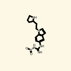 N=C(Nc1ccc2c(ccn2CCC2CCCN2)c1)N[N+](=O)[O-]